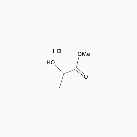 COC(=O)C(C)O.Cl